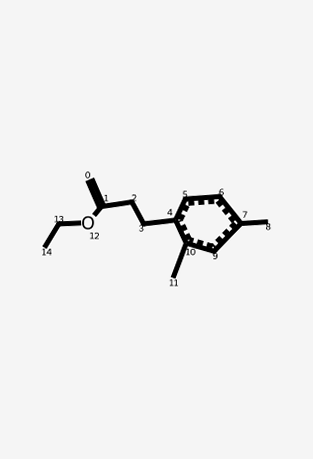 C=C(CCc1ccc(C)cc1C)OCC